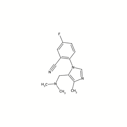 Cc1ncn(-c2ccc(F)cc2C#N)c1CN(C)C